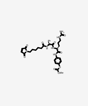 COC(=O)Oc1ccc(NC(=O)[C@H](CCCNC(N)=O)NC(=O)[C@@H](NC(=O)CCCCCN2C(=O)C=CC2=O)C(C)C)cc1